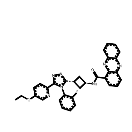 CCOc1ccc(-c2nnc([C@H]3C[C@H](NC(=O)c4cccc5nc6ccccc6nc45)C3)n2-c2ccccc2F)nc1